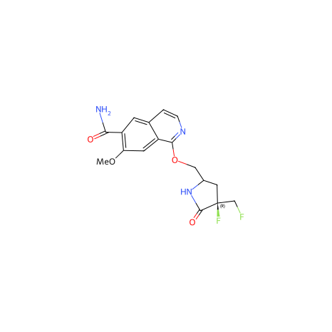 COc1cc2c(OCC3C[C@](F)(CF)C(=O)N3)nccc2cc1C(N)=O